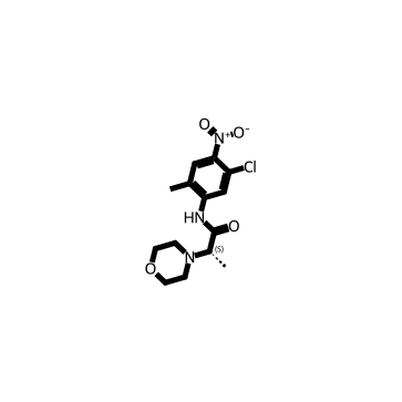 Cc1cc([N+](=O)[O-])c(Cl)cc1NC(=O)[C@H](C)N1CCOCC1